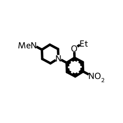 CCOc1cc([N+](=O)[O-])ccc1N1CCC(NC)CC1